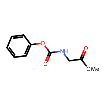 COC(=O)CNC(=O)Oc1ccccc1